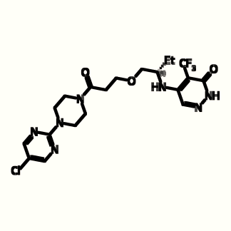 CC[C@@H](COCCC(=O)N1CCN(c2ncc(Cl)cn2)CC1)Nc1cn[nH]c(=O)c1C(F)(F)F